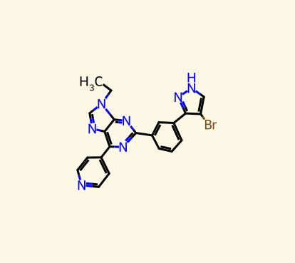 CCn1cnc2c(-c3ccncc3)nc(-c3cccc(-c4n[nH]cc4Br)c3)nc21